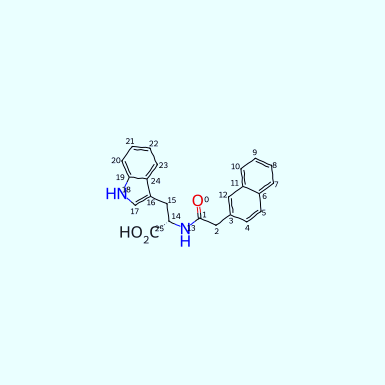 O=C(Cc1ccc2ccccc2c1)N[C@@H](Cc1c[nH]c2ccccc12)C(=O)O